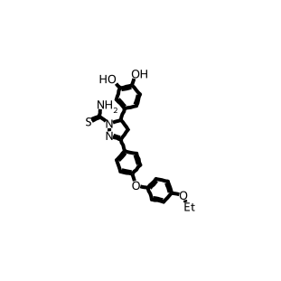 CCOc1ccc(Oc2ccc(C3=NN(C(N)=S)C(c4ccc(O)c(O)c4)C3)cc2)cc1